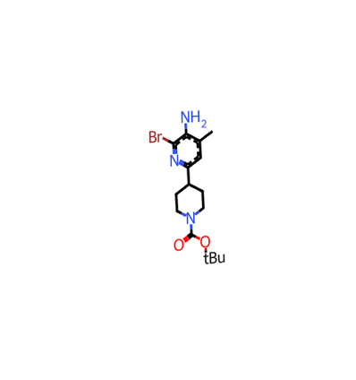 Cc1cc(C2CCN(C(=O)OC(C)(C)C)CC2)nc(Br)c1N